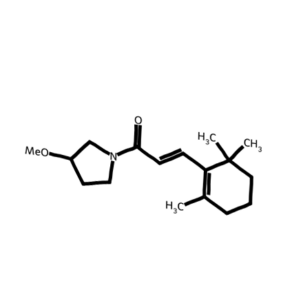 COC1CCN(C(=O)/C=C/C2=C(C)CCCC2(C)C)C1